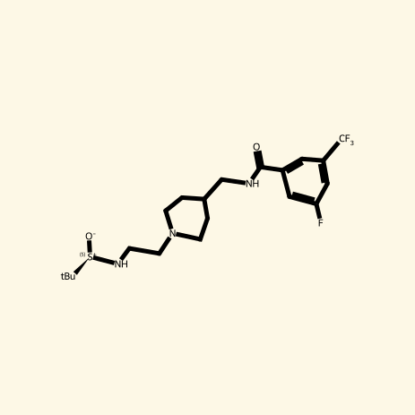 CC(C)(C)[S@@+]([O-])NCCN1CCC(CNC(=O)c2cc(F)cc(C(F)(F)F)c2)CC1